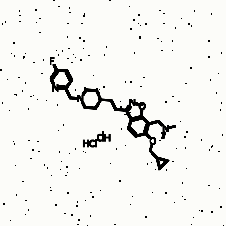 CN(C)Cc1c(OCC2CC2)ccc2c(CCC3CCN(Cc4ccc(F)cn4)CC3)noc12.Cl.Cl